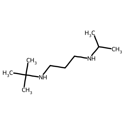 CC(C)NCCCNC(C)(C)C